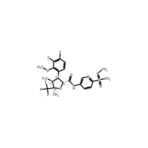 CN=S(C)(=O)c1ccc(NC(=O)[C@@H]2O[C@@](C)(C(F)(F)F)[C@@H](C)[C@H]2c2ccc(F)c(F)c2OC)cn1